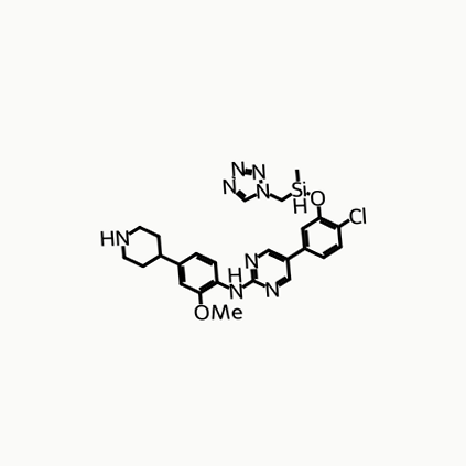 COc1cc(C2CCNCC2)ccc1Nc1ncc(-c2ccc(Cl)c(O[SiH](C)Cn3cnnn3)c2)cn1